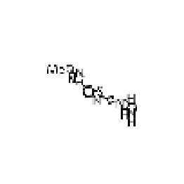 COc1ncc(-c2ccc3nc(C4CC(N5C[C@H]6CCN[C@H]6C5)C4)sc3c2)cn1